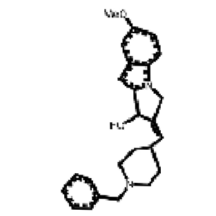 COc1ccc2c(c1)cc1n2C/C(=C/C2CCN(Cc3ccccc3)CC2)C1O